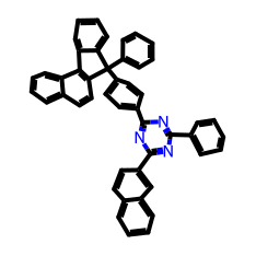 c1ccc(-c2nc(-c3ccc(C4(c5ccccc5)c5ccccc5-c5c4ccc4ccccc54)cc3)nc(-c3ccc4ccccc4c3)n2)cc1